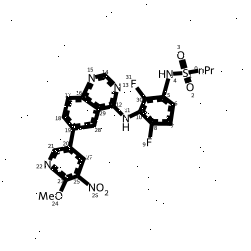 CCCS(=O)(=O)Nc1ccc(F)c(Nc2ncnc3ccc(-c4cnc(OC)c([N+](=O)[O-])c4)cc23)c1F